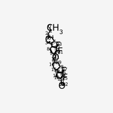 CCCC1CCC(c2ccc(OCC3CCC(c4ccc(C5CO5)c(F)c4F)CC3)c(F)c2F)CC1